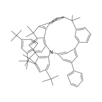 CC(C)(C)c1ccc2c(c1)C(C)(C)c1cc(C(C)(C)C)cc(N3c4cc(-c5ccccc5)cc(c4)-c4cccc(c4)C(C)(C)c4ccc5c(c4)C(C)(C)c4cc(C(C)(C)C)cc3c4-5)c1-2